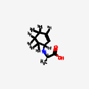 [2H]C1=CC([2H])(N[C@@H](C)C(=O)O)C([2H])([2H])C([2H])([2H])C1([2H])[2H]